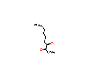 CCCCCCCCCCC(=O)C(=O)OC